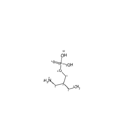 CCC(CN)COP(=O)(O)O